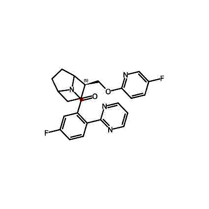 O=C(c1cc(F)ccc1-c1ncccn1)N1C2CCC1[C@@H](COc1ccc(F)cn1)CC2